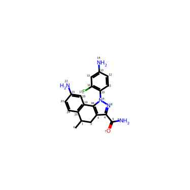 CC1Cc2c(C(N)=O)nn(-c3ccc(N)cc3F)c2-c2cc(N)ccc21